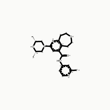 C[C@@H]1CN(c2cc(C(=O)Nc3ccnc(F)c3)c3c(n2)CCOCC3)C[C@H](C)O1